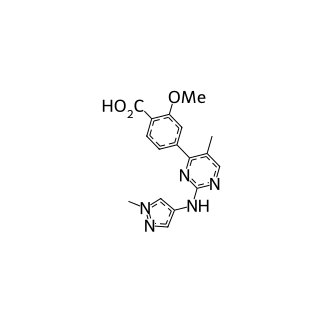 COc1cc(-c2nc(Nc3cnn(C)c3)ncc2C)ccc1C(=O)O